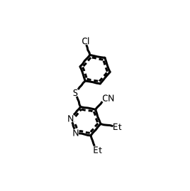 CCc1nnc(Sc2cccc(Cl)c2)c(C#N)c1CC